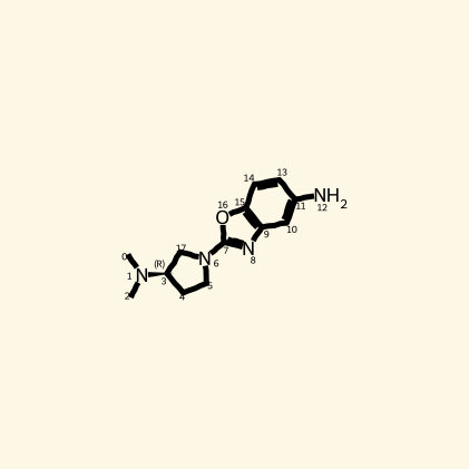 CN(C)[C@@H]1CCN(c2nc3cc(N)ccc3o2)C1